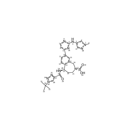 Cn1cc(Nc2nccc(-c3ccc4c(c3)CN(C(=O)O)CC[C@H]4NC(=O)c3cn(C(C)(C)C)nn3)n2)cn1